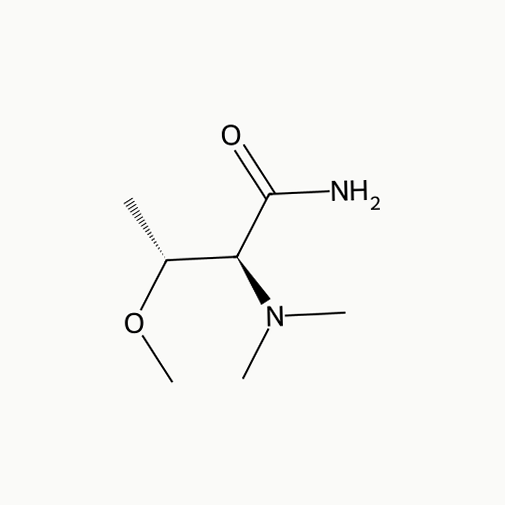 CO[C@H](C)[C@@H](C(N)=O)N(C)C